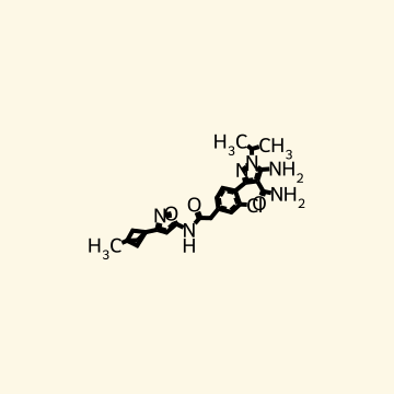 CC(C)n1nc(-c2ccc(CC(=O)Nc3cc(C45CC(C)(C4)C5)no3)cc2Cl)c(C(N)=O)c1N